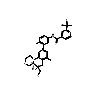 Cc1ccc(NC(=O)c2ccnc(C(C)(C)F)c2)cc1-c1cc(F)c2c(c1)N1CCOC[C@H]1[C@@](F)(CO)C2